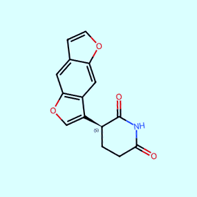 O=C1CC[C@@H](c2coc3cc4ccoc4cc23)C(=O)N1